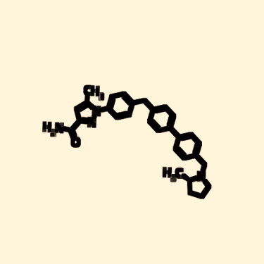 Cc1cc(C(N)=O)nn1-c1ccc(Cc2ccc(-c3ccc(CN4CCC[C@H]4C)cc3)cc2)cc1